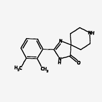 Cc1cccc(C2=NC3(CCNCC3)C(=O)N2)c1C